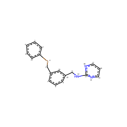 c1ccc(SCc2cccc(CNc3ncccn3)c2)cc1